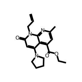 C=CCn1c(=O)cc(N2CCCC2)c2c(C(=O)OCC)cc(C)nc21